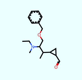 CCN(C)C(COCc1ccccc1)C(C)C1CC1C=O